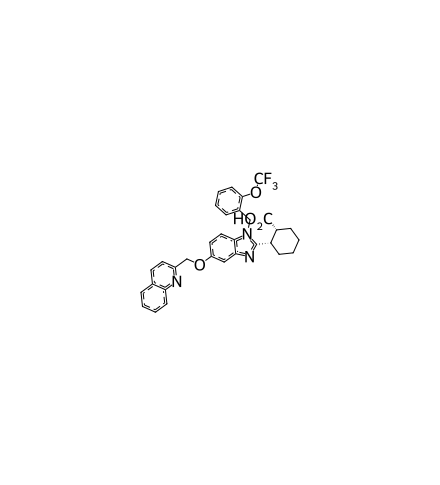 O=C(O)[C@@H]1CCCC[C@@H]1c1nc2cc(OCc3ccc4ccccc4n3)ccc2n1Cc1ccccc1OC(F)(F)F